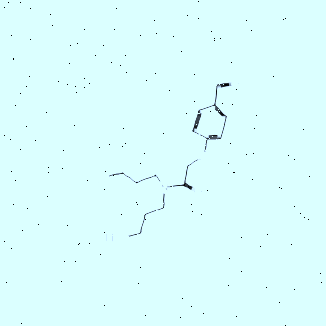 CCCCN(CCCC)C(=O)COc1ccc([C]=O)cc1